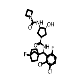 O=C(N[C@H](c1c(F)ccc(Cl)c1Cl)C12CCC(F)(CC1)C2)[C@@H]1C[C@@H](O)[C@@H](NC(=O)N2CCC2)C1